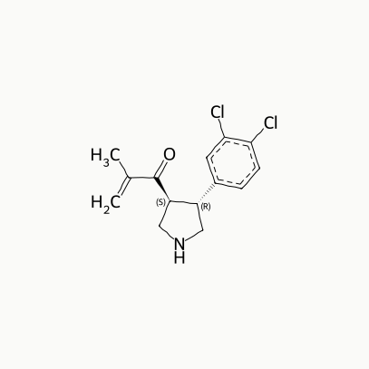 C=C(C)C(=O)[C@@H]1CNC[C@H]1c1ccc(Cl)c(Cl)c1